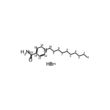 Br.CCCCCCCCCCN1C=CC(C(N)=O)=CC1